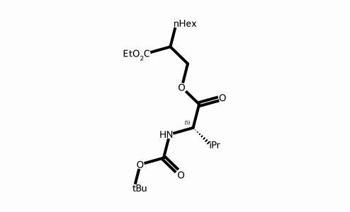 CCCCCCC(COC(=O)[C@@H](NC(=O)OC(C)(C)C)C(C)C)C(=O)OCC